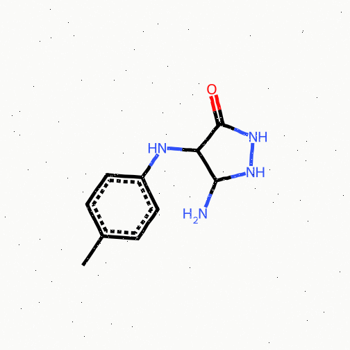 Cc1ccc(NC2C(=O)NNC2N)cc1